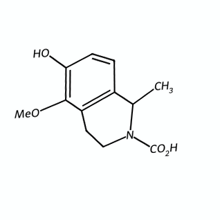 COc1c(O)ccc2c1CCN(C(=O)O)C2C